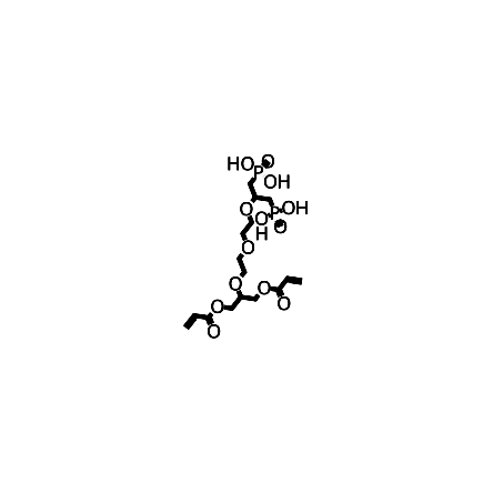 C=CC(=O)OCC(COC(=O)C=C)OCCOCCOC(CP(=O)(O)O)CP(=O)(O)O